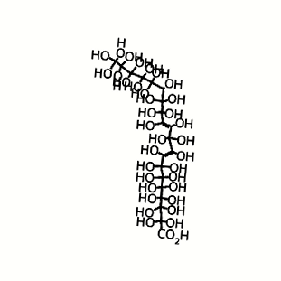 O=C(O)C(O)(O)C(O)(O)C(O)(O)C(O)(O)C(O)(O)C(O)(O)C(O)=C(O)C(O)(O)C(O)=C(O)C(O)(O)C(O)(O)C(O)C(O)(O)C(O)(O)C(O)(O)C(O)(O)C(O)(O)O